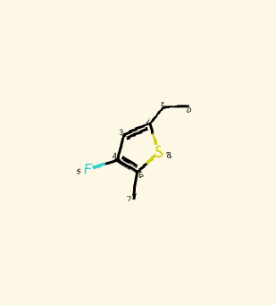 CCc1cc(F)c(C)s1